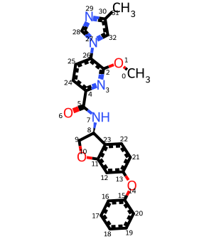 COc1nc(C(=O)N[C@@H]2COc3cc(Oc4ccccc4)ccc32)ccc1-n1cnc(C)c1